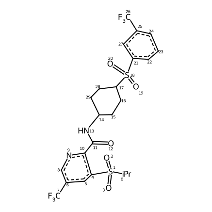 CC(C)S(=O)(=O)c1cc(C(F)(F)F)cnc1C(=O)NC1CCC(S(=O)(=O)c2cccc(C(F)(F)F)c2)CC1